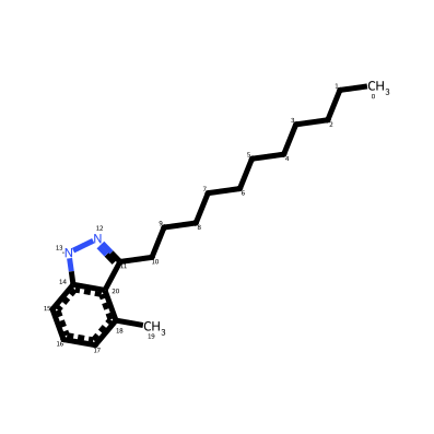 CCCCCCCCCCCC1=N[N]c2cccc(C)c21